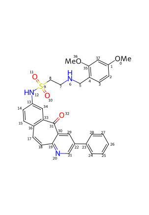 COc1ccc(CNCCS(=O)(=O)Nc2ccc3ccc4ncc(-c5ccccc5)cc4c(=O)c3c2)c(OC)c1